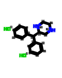 Cl.Cl.c1ccc(C(c2ccccc2)[C@@H]2CNCCN2)cc1